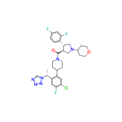 C[C@H](c1cc(F)c(Cl)cc1C1CCN(C(=O)[C@@H]2CN(C3CCOCC3)C[C@H]2c2ccc(F)cc2F)CC1)n1cnnn1